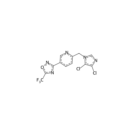 FC(F)(F)c1nc(-c2ccc(Cn3cnc(Cl)c3Cl)nc2)no1